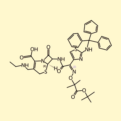 CCNCC1=C(C(=O)O)N2C(=O)C(NC(=O)/C(=N\OC(C)(C)C(=O)OC(C)(C)C)c3csc(NC(c4ccccc4)(c4ccccc4)c4ccccc4)n3)[C@H]2SC1